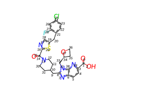 O=C(O)c1ccc2nc(CC3CCN(C(=O)c4ncc(Cc5ccc(Cl)cc5F)s4)CC3)n(C[C@@H]3CCO3)c2n1